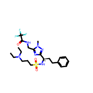 CCN(CC)CCCS(=O)(=O)N[C@H](CCc1ccccc1)c1nc(CNC(=O)C(F)(F)F)n(C)n1